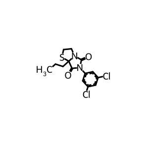 CCCC12SCCN1C(=O)N(c1cc(Cl)cc(Cl)c1)C2=O